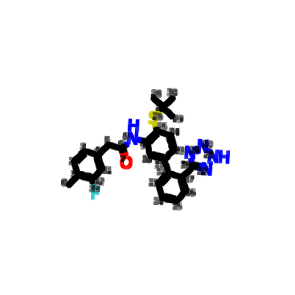 Cc1ccc(CC(=O)Nc2cc(-c3ccccc3-c3nn[nH]n3)ccc2SC(C)(C)C)cc1F